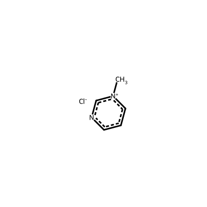 C[n+]1cccnc1.[Cl-]